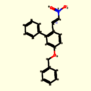 O=[N+]([O-])/C=C/c1ccc(OCc2ccccc2)cc1-c1ccccc1